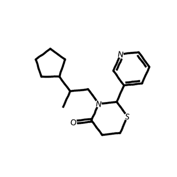 CC(CN1C(=O)CCSC1c1cccnc1)C1CCCC1